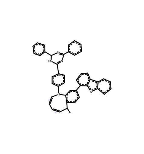 CC1/C=C\C=C/N(c2ccc(C3=NC(c4ccccc4)=NC(c4ccccc4)N3)cc2)c2cc(-c3cccc4c3sc3ccccc34)ccc21